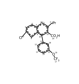 CC(C)c1nc2ccc(Cl)cc2c(-c2cccc(OC(F)(F)F)c2)c1C(=O)O